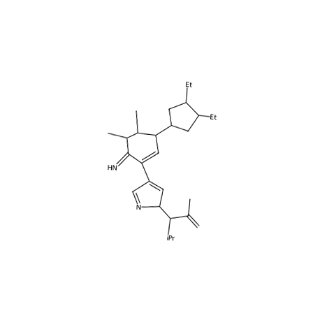 C=C(C)C(C(C)C)C1C=C(C2=CC(C3CC(CC)C(CC)C3)C(C)C(C)C2=N)C=N1